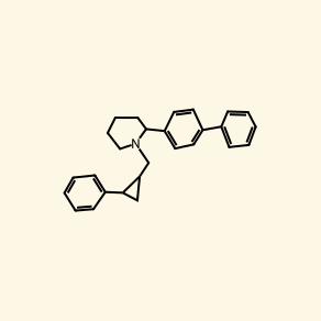 c1ccc(-c2ccc(C3CCCCN3CC3CC3c3ccccc3)cc2)cc1